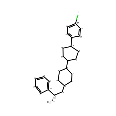 C[C@@H](CC1CCC(C2CCC(c3ccc(Cl)cc3)CC2)CC1)c1ccccc1